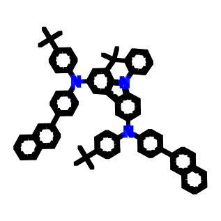 CC(C)(C)c1ccc(N(c2ccc(-c3ccc4ccccc4c3)cc2)c2ccc3c(c2)c2cc(N(c4ccc(-c5ccc6ccccc6c5)cc4)c4ccc(C(C)(C)C)cc4)cc4c2n3-c2ccccc2C4(C)C)cc1